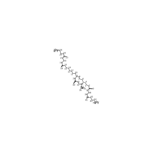 C=C(CCCCCCCC(CCCCCCCC(=C)CCCC(C)CCCC(C)C)CC(=C)CCCN(C)C)CCCC(C)CCCC(C)C